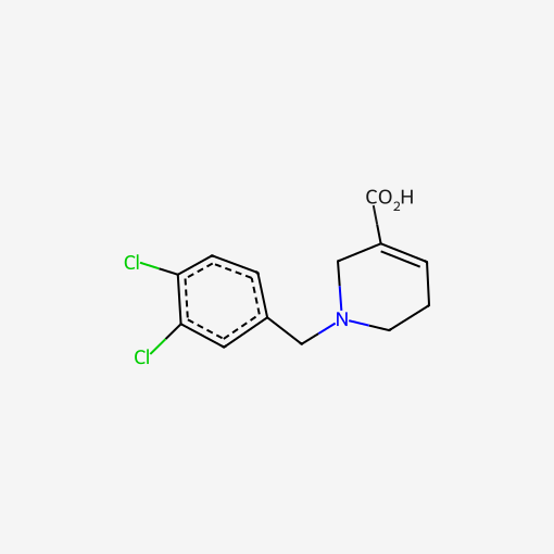 O=C(O)C1=CCCN(Cc2ccc(Cl)c(Cl)c2)C1